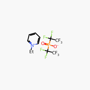 CC[n+]1ccccc1.O=P([O-])(C(F)(F)C(F)(F)F)C(F)(F)C(F)(F)F